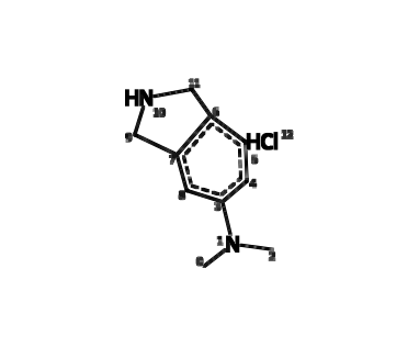 CN(C)c1ccc2c(c1)CNC2.Cl